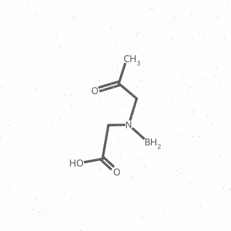 BN(CC(C)=O)CC(=O)O